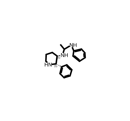 CC(Nc1ccccc1)N[C@H]1CCCN[C@H]1c1ccccc1